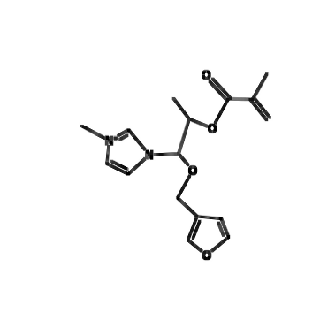 C=C(C)C(=O)OC(C)C(OCc1ccoc1)n1cc[n+](C)c1